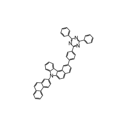 c1ccc(-c2nc(-c3ccccc3)nc(-c3ccc(-c4ccc5ccc6c(c5c4)c4ccccc4n6-c4ccc5c(ccc6ccccc65)c4)cc3)n2)cc1